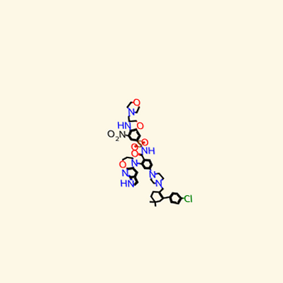 CC1(C)CCC(CN2CCN(c3ccc(C(=O)NS(=O)(=O)c4cc5c(c([N+](=O)[O-])c4)NC(CN4CCOCC4)CO5)c(N4CCCOc5nc6[nH]ccc6cc54)c3)CC2)=C(c2ccc(Cl)cc2)C1